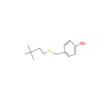 CC(C)(C)CCSCc1ccc(O)cc1